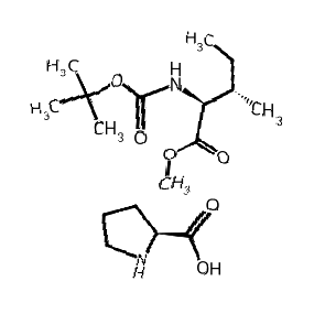 CC[C@H](C)[C@H](NC(=O)OC(C)(C)C)C(=O)OC.O=C(O)[C@@H]1CCCN1